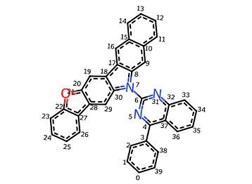 c1ccc(-c2nc(-n3c4cc5ccccc5cc4c4cc5oc6ccccc6c5cc43)nc3ccccc23)cc1